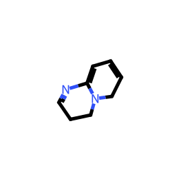 C1=CCN2CCC=NC2=C1